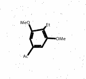 CCc1c(OC)cc(C(C)=O)cc1OC